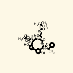 CC(NC(=O)[C@@H]1Cc2cc(ccc2O)-c2ccc(O)c(c2)C[C@H](NC(=O)OC(C)(C)C)C(=O)N[C@@H](C[C@@H](O)CNC(=O)OC(C)(C)C)C(=O)N1)c1ccccc1